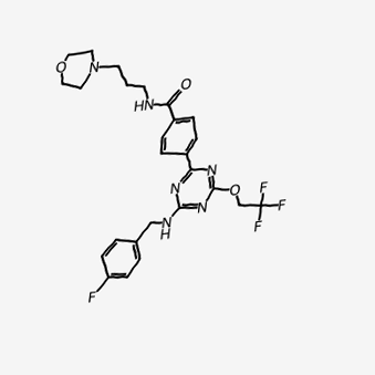 O=C(NCCCN1CCOCC1)c1ccc(-c2nc(NCc3ccc(F)cc3)nc(OCC(F)(F)F)n2)cc1